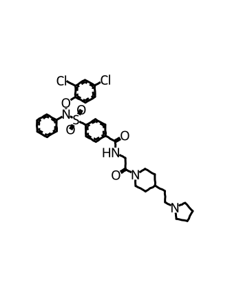 O=C(NCC(=O)N1CCC(CCN2CCCC2)CC1)c1ccc(S(=O)(=O)N(Oc2ccc(Cl)cc2Cl)c2ccccc2)cc1